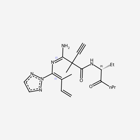 C#CC(C)(C(=O)N[C@H](CC)C(=O)CCC)/C(N)=N\C(=C(/C)C=C)n1nccn1